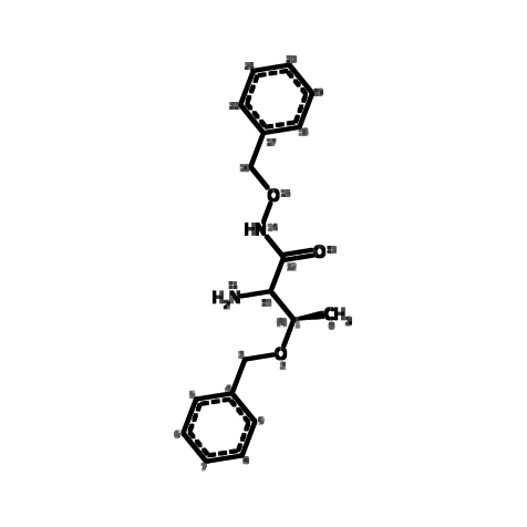 C[C@@H](OCc1ccccc1)C(N)C(=O)NOCc1ccccc1